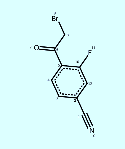 N#Cc1ccc(C(=O)CBr)c(F)c1